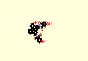 O=C1c2ccc(O)cc2C(=O)N1c1ccc(C2(c3ccc(N4C(=O)c5cc(O)ccc5[C@H]4O)cc3)c3ccccc3-c3ccccc32)cc1